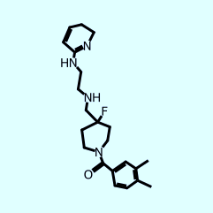 Cc1ccc(C(=O)N2CCC(F)(CNCCNC3=NCCC=C3)CC2)cc1C